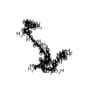 CO[C@@]12[C@H](COC(N)=O)C3=C(C(=O)C(C)=C(NCCSSCCNC(=O)CC/C(C)=N/NC(=O)CCN4C(=O)CC(S[C@H](NC(=O)[C@H](CC(=O)O)NC(=O)[C@H](CCCNC(=N)N)NC(=O)[C@H](CC(=O)O)NC(=O)CC[C@H](NC(=O)c5ccc(NCc6cnc7nc(N)[nH]c(=O)c7n6)cc5)C(=O)O)C(=O)O)C4=O)C3=O)N1C[C@@H]1N[C@@H]12